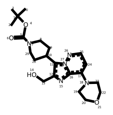 CC(C)(C)OC(=O)N1CCC(c2c(CO)nc3c(N4CCOCC4)ccnn23)CC1